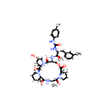 Cc1ccc(NC(=O)N[C@@H](Cc2cccc(C)c2)C(=O)N[C@@H]2C(=O)N3C[C@H](O)C[C@H]3C(=O)N3CCCC[C@H]3C(=O)N[C@@H](C)C(=O)N3CCC[C@H]3C(=O)O[C@H]2C)cc1